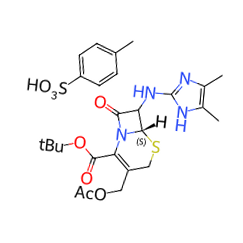 CC(=O)OCC1=C(C(=O)OC(C)(C)C)N2C(=O)C(Nc3nc(C)c(C)[nH]3)[C@@H]2SC1.Cc1ccc(S(=O)(=O)O)cc1